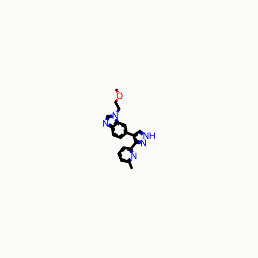 COCCn1cnc2ccc(-c3c[nH]nc3-c3cccc(C)n3)cc21